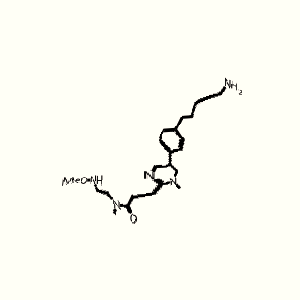 CONCCN(C)C(=O)CCC1=NCC(c2ccc(CCCCN)cc2)CN1C